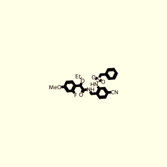 CCOC(C(=O)NCc1ccc(C#N)cc1NS(=O)(=O)Cc1ccccc1)c1ccc(OC)cc1F